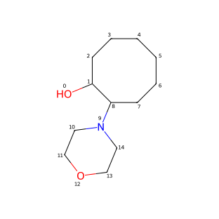 OC1CCCCCCC1N1CCOCC1